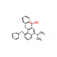 CC(C)c1cc(C(=O)O)c(Cc2ccccc2)c2c(Cc3ccccc3)cccc12